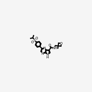 CC(C)S(=O)(=O)c1ccc(-c2cnc3[nH]cc(C(=O)NCC4(C)COC4)c3n2)cc1